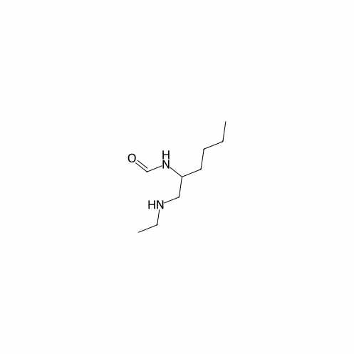 CCCCC(CNCC)NC=O